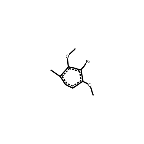 COc1ccc(C)c(OC)c1Br